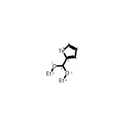 CCOC(OCC)c1ccc[te]1